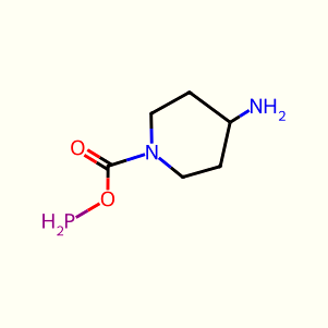 NC1CCN(C(=O)OP)CC1